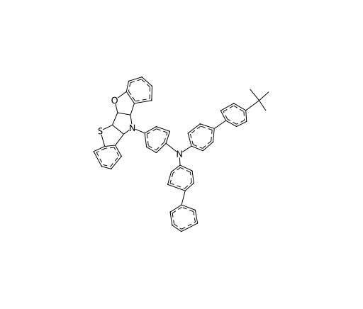 CC(C)(C)c1ccc(-c2ccc(N(c3ccc(-c4ccccc4)cc3)c3ccc(N4C5c6ccccc6OC5C5Sc6ccccc6C54)cc3)cc2)cc1